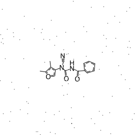 Cc1occ(N(C#N)C(=O)NC(=O)c2ccccc2)c1C